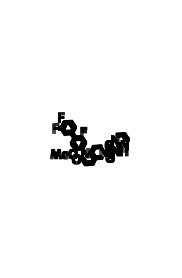 COc1cc(-c2ccc(F)c(F)c2)c(F)cc1-n1c2c(ccc1=O)CN(S(=O)(=O)Nc1ncccn1)CC2